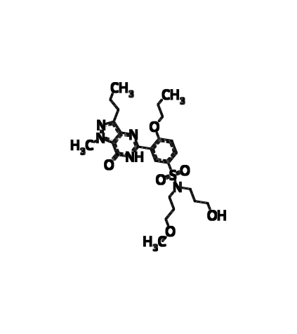 CCCOc1ccc(S(=O)(=O)N(CCCO)CCCOC)cc1-c1nc2c(CCC)nn(C)c2c(=O)[nH]1